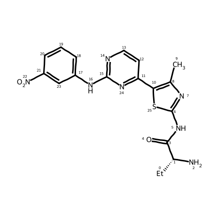 CC[C@@H](N)C(=O)Nc1nc(C)c(-c2ccnc(Nc3cccc([N+](=O)[O-])c3)n2)s1